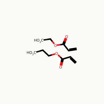 C=CC(=O)OCC(=O)O.C=CC(=O)OCCC(=O)O